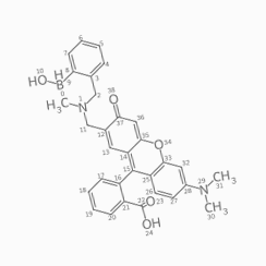 CN(Cc1ccccc1BO)Cc1cc2c(-c3ccccc3C(=O)O)c3ccc(N(C)C)cc3oc-2cc1=O